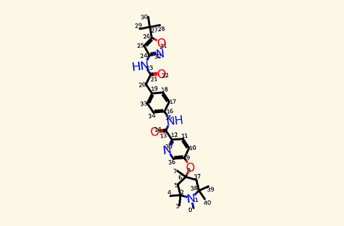 CN1C(C)(C)CC(C)(Oc2ccc(C(=O)Nc3ccc(CC(=O)Nc4cc(C(C)(C)C)on4)cc3)nc2)CC1(C)C